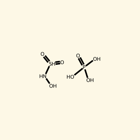 O=P(O)(O)O.O=[SH](=O)NO